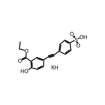 CCOC(=O)c1cc(C#Cc2ccc(S(=O)(=O)O)cc2)ccc1O.[KH]